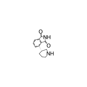 O=C1NC(=O)c2c1cccc2[C@H]1CCCNC1